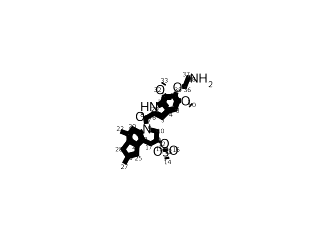 COc1cc2cc(C(=O)N3C[C@@H](OS(C)(=O)=O)Cc4c3cc(C)c3c4C=C(C)C3)[nH]c2c(OC)c1OCCN